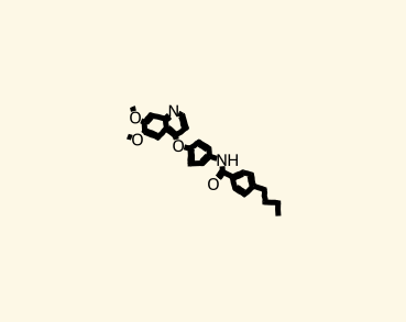 CCCCc1ccc(C(=O)Nc2ccc(Oc3ccnc4cc(OC)c(OC)cc34)cc2)cc1